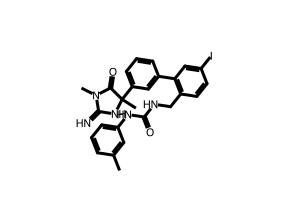 Cc1cccc(NC(=O)NCc2ccc(I)cc2-c2cccc(C3(C)NC(=N)N(C)C3=O)c2)c1